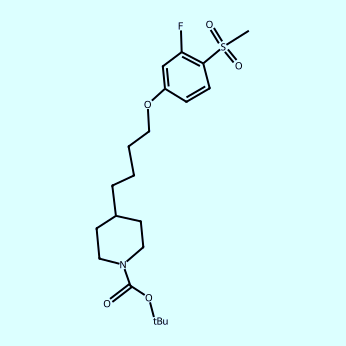 CC(C)(C)OC(=O)N1CCC(CCCCOc2ccc(S(C)(=O)=O)c(F)c2)CC1